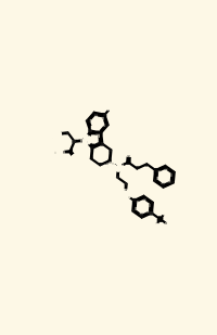 CCC(C(=O)O)n1c2c(c3cc(F)ccc31)C[C@@H](N(CCOc1ccc(C(F)(F)F)cc1)C(=O)CCc1ccccc1)CC2